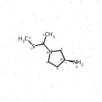 CSC(C)N1CC[C@H](N)C1